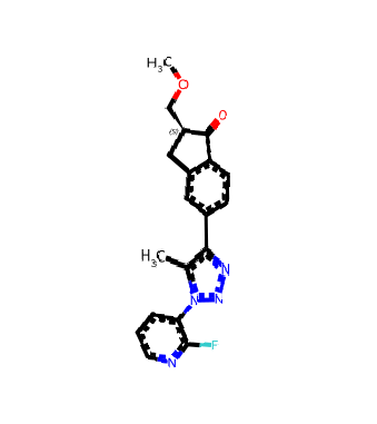 COC[C@@H]1Cc2cc(-c3nnn(-c4cccnc4F)c3C)ccc2C1=O